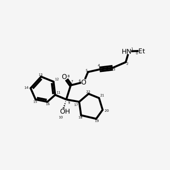 CCNCC#CCOC(=O)[C@](O)(c1ccccc1)C1CCCCC1